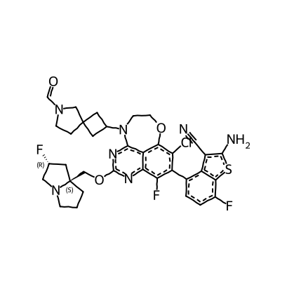 N#Cc1c(N)sc2c(F)ccc(-c3c(Cl)c4c5c(nc(OC[C@@]67CCCN6C[C@H](F)C7)nc5c3F)N(C3CC5(CCN(C=O)C5)C3)CCO4)c12